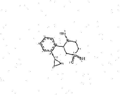 CC(C)(C)N1CCS(=N)(=O)CC1c1ccccc1C1CC1